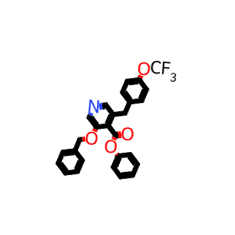 O=C(Oc1ccccc1)c1c(Cc2ccc(OC(F)(F)F)cc2)cncc1OCc1ccccc1